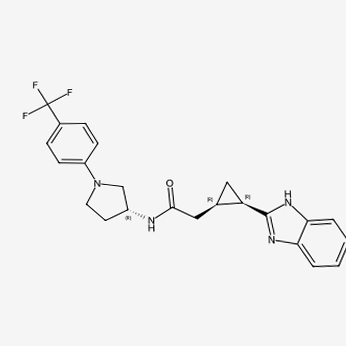 O=C(C[C@H]1C[C@H]1c1nc2ccccc2[nH]1)N[C@@H]1CCN(c2ccc(C(F)(F)F)cc2)C1